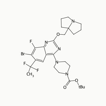 CC(C)(C)OC(=O)N1CCN(c2nc(OCC34CCCN3CCC4)nc3c(F)c(Br)c(C(C)(F)F)cc23)CC1